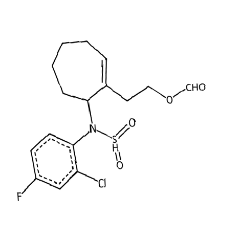 O=COCCC1=CCCCCC1N(c1ccc(F)cc1Cl)[SH](=O)=O